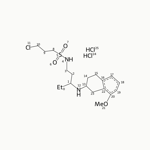 CCC(CCNS(=O)(=O)CCCCl)NC1CCc2cccc(OC)c2C1.Cl.Cl